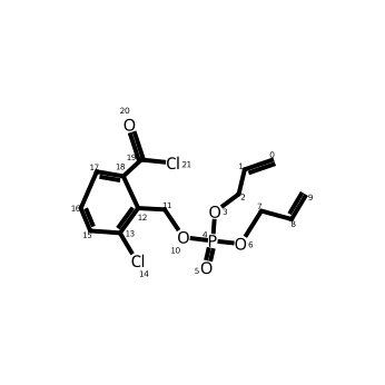 C=CCOP(=O)(OCC=C)OCc1c(Cl)cccc1C(=O)Cl